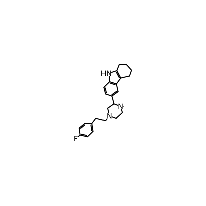 Fc1ccc(CCN2CC[N]C(c3ccc4[nH]c5c(c4c3)CCCC5)C2)cc1